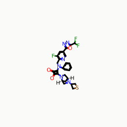 O=c1c(N(Cc2ncc(-c3nnc(C(F)F)o3)cc2F)c2ccccc2)c(N2C[C@@H]3C[C@H]2CN3C2CSC2)c1=O